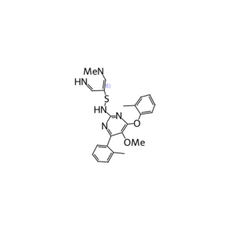 CN/C=C(\C=N)SNc1nc(Oc2ccccc2C)c(OC)c(-c2ccccc2C)n1